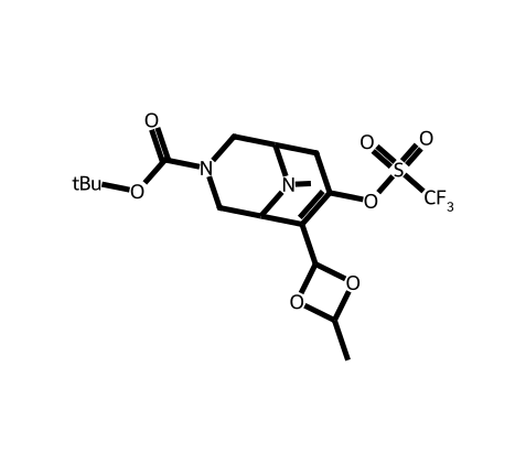 CC1OC(C2=C(OS(=O)(=O)C(F)(F)F)CC3CN(C(=O)OC(C)(C)C)CC2N3C)O1